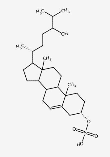 CC(C)C(O)CC[C@@H](C)C1CCC2C3CC=C4C[C@@H](OS(=O)(=O)O)CCC4(C)C3CCC21C